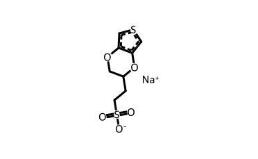 O=S(=O)([O-])CCC1COc2cscc2O1.[Na+]